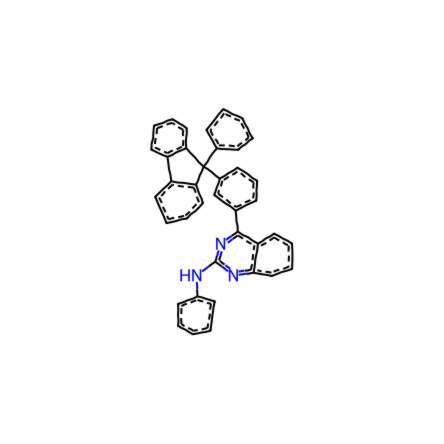 c1ccc(Nc2nc(-c3cccc(C4(c5ccccc5)c5ccccc5-c5ccccc54)c3)c3ccccc3n2)cc1